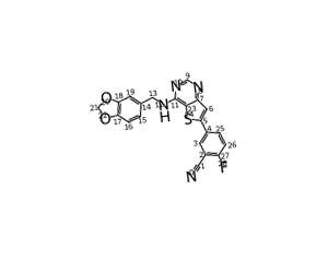 N#Cc1cc(-c2cc3ncnc(NCc4ccc5c(c4)OCO5)c3s2)ccc1F